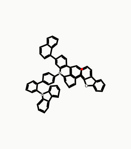 c1ccc(-c2ccc(-c3cccc4ccccc34)cc2N(c2ccc(-c3ccccc3-n3c4ccccc4c4ccccc43)cc2)c2cccc(-c3cccc4c3oc3ccccc34)c2)cc1